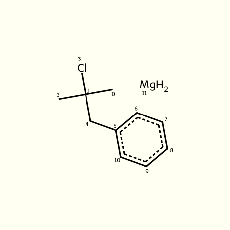 CC(C)(Cl)Cc1ccccc1.[MgH2]